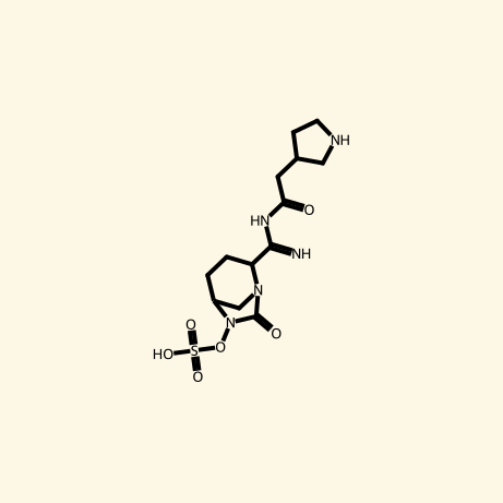 N=C(NC(=O)CC1CCNC1)C1CCC2CN1C(=O)N2OS(=O)(=O)O